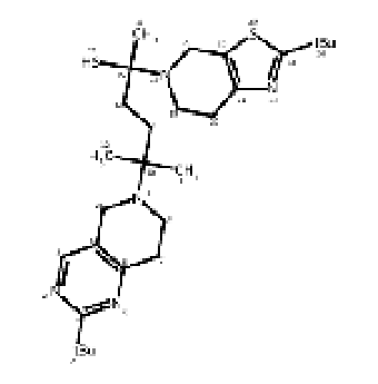 CC(C)(C)c1ncc2c(n1)CCN(C(C)(C)CCC(C)(S)N1CCc3nc(C(C)(C)C)sc3C1)C2